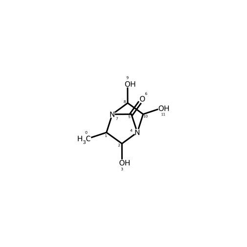 CC1C(O)N2C(=O)N1C(O)C2O